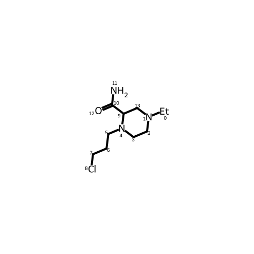 CCN1CCN(CCCCl)C(C(N)=O)C1